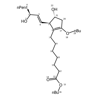 CCCCC[C@H](O)/C=C/[C@@H]1C(CCCCCCC(=O)OCCCC)=C(OCCCC)C[C@H]1O